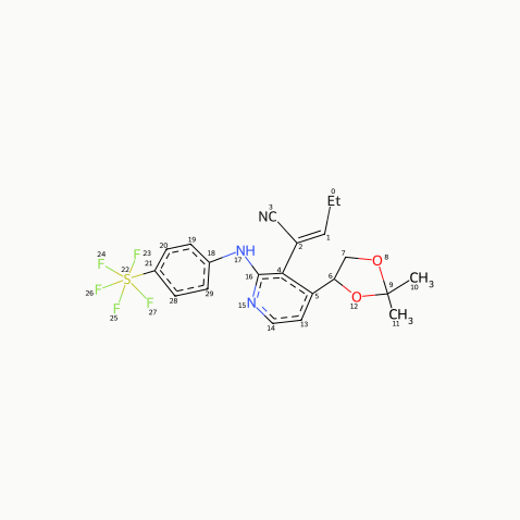 CC/C=C(\C#N)c1c(C2COC(C)(C)O2)ccnc1Nc1ccc(S(F)(F)(F)(F)F)cc1